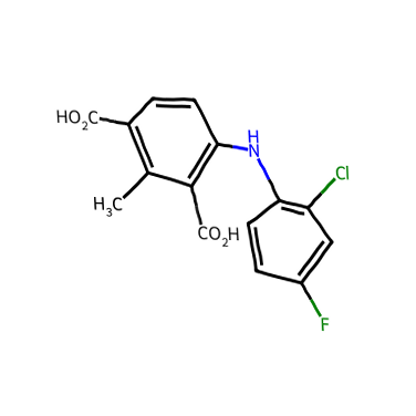 Cc1c(C(=O)O)ccc(Nc2ccc(F)cc2Cl)c1C(=O)O